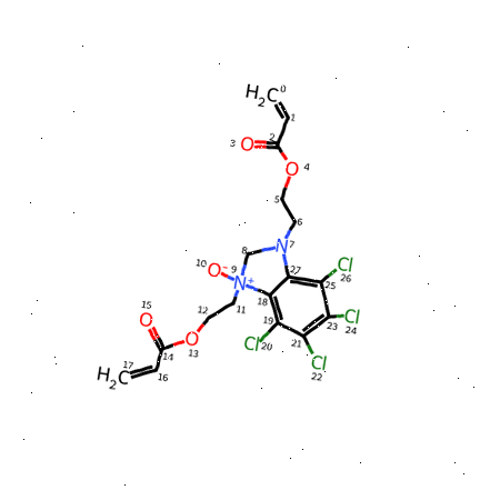 C=CC(=O)OCCN1C[N+]([O-])(CCOC(=O)C=C)c2c(Cl)c(Cl)c(Cl)c(Cl)c21